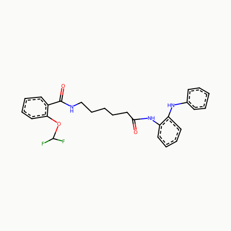 O=C(CCCCCNC(=O)c1ccccc1OC(F)F)Nc1ccccc1Nc1ccccc1